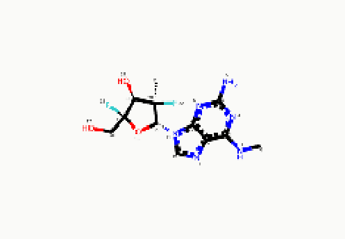 CNc1nc(N)nc2c1ncn2[C@@H]1O[C@](F)(CO)[C@@H](O)[C@@]1(C)F